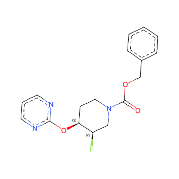 O=C(OCc1ccccc1)N1CC[C@H](Oc2ncccn2)[C@H](F)C1